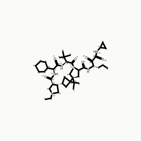 CCC[C@H](NC(=O)C1C[C@@]2(CN1C(=O)[C@@H](NC(=O)[C@@H](NC(=O)[C@H]1CCN(CC)C1)C1CCCCC1)C(C)(C)C)C(C)(C)C21CCC1)C(=O)C(=O)NC1CC1